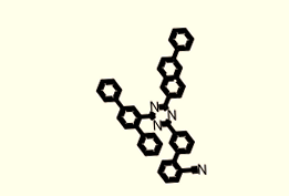 N#Cc1ccccc1-c1cccc(-c2nc(-c3ccc4cc(-c5ccccc5)ccc4c3)nc(-c3cc(-c4ccccc4)ccc3-c3ccccc3)n2)c1